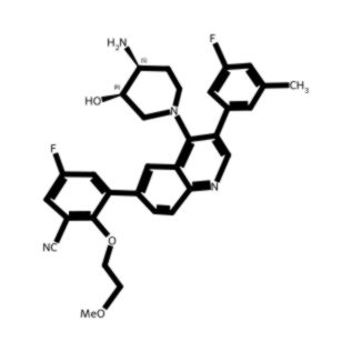 COCCOc1c(C#N)cc(F)cc1-c1ccc2ncc(-c3cc(C)cc(F)c3)c(N3CC[C@H](N)[C@H](O)C3)c2c1